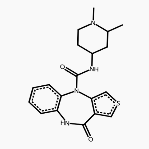 CC1CC(NC(=O)N2c3ccccc3NC(=O)c3cscc32)CCN1C